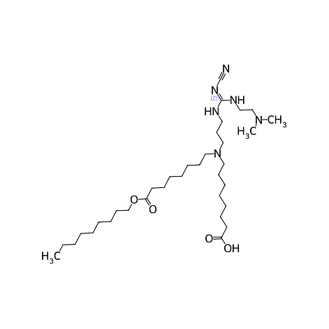 CCCCCCCCCOC(=O)CCCCCCCN(CCCCCCCC(=O)O)CCCN/C(=N/C#N)NCCN(C)C